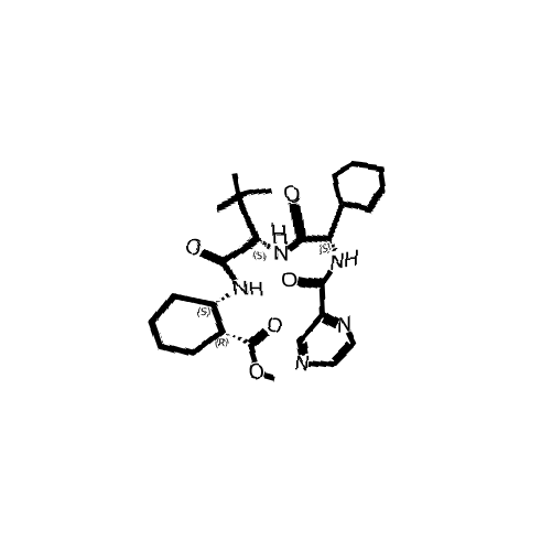 COC(=O)[C@@H]1CCCC[C@@H]1NC(=O)[C@@H](NC(=O)[C@@H](NC(=O)c1cnccn1)C1CCCCC1)C(C)(C)C